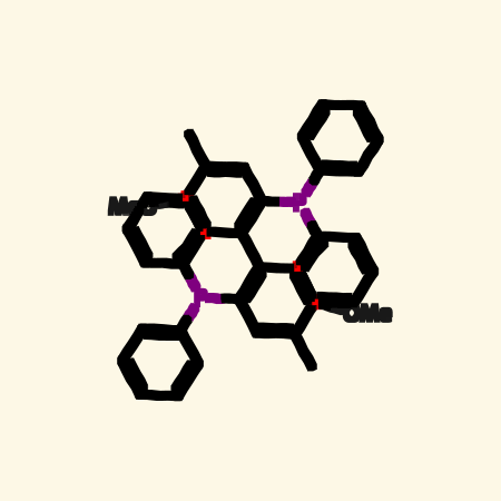 COc1c(C)cc(P(c2ccccc2)c2ccccc2)c(-c2c(P(c3ccccc3)c3ccccc3)cc(C)c(OC)c2C)c1C